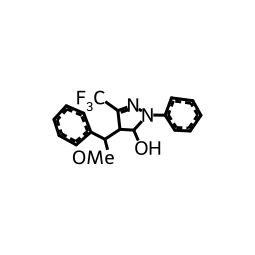 COC(c1ccccc1)C1C(C(F)(F)F)=NN(c2ccccc2)C1O